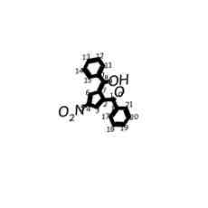 O=C(C1=CC([N+](=O)[O-])=C/C1=C(/O)c1ccccc1)c1ccccc1